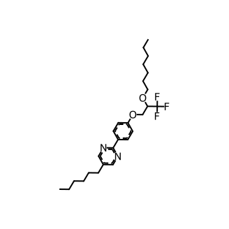 CCCCCCCOC(COc1ccc(-c2ncc(CCCCCC)cn2)cc1)C(F)(F)F